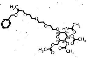 C=C(COCCOCCOCCO[C@@H]1O[C@H](COC(C)=O)[C@H](OC(C)=O)[C@H](OC(C)=O)[C@H]1NC(C)=O)OCc1ccccc1